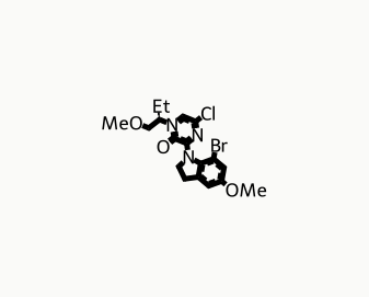 CC[C@@H](COC)n1cc(Cl)nc(N2CCc3cc(OC)cc(Br)c32)c1=O